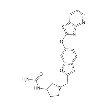 NC(=O)NC1CCN(Cc2cc3ccc(Oc4nc5ncccc5s4)cc3o2)C1